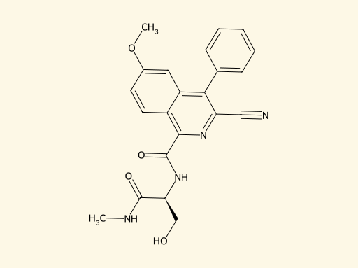 CNC(=O)[C@H](CO)NC(=O)c1nc(C#N)c(-c2ccccc2)c2cc(OC)ccc12